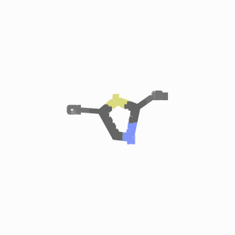 [C-]#[N+]c1cnc(C(C)(C)C)s1